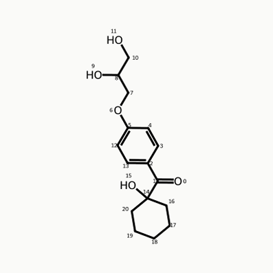 O=C(c1ccc(OCC(O)CO)cc1)C1(O)CCCCC1